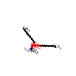 CCCCCCCCCCC/C=C/C=C/C(=O)OC[C@H](COP(=O)(O)OCC[N+](C)(C)C)OC(=O)/C=C/C=C/CCCCCCCCCCC